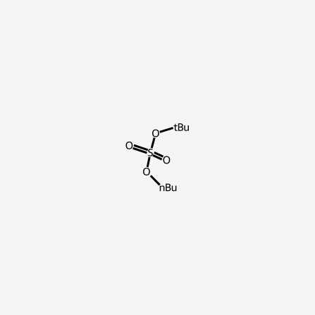 CCCCOS(=O)(=O)OC(C)(C)C